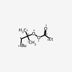 CCC(=O)OOC(C)(C)CC(C)(C)C